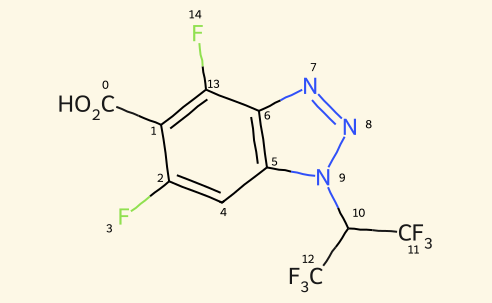 O=C(O)c1c(F)cc2c(nnn2C(C(F)(F)F)C(F)(F)F)c1F